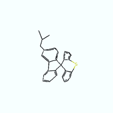 CC(C)Cc1ccc2c(c1)-c1ccccc1C21c2ccccc2Sc2ccccc21